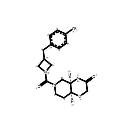 O=C1CO[C@H]2CCN(C(=O)N3CC(Cc4ccc(C(F)(F)F)cc4)C3)C[C@H]2N1